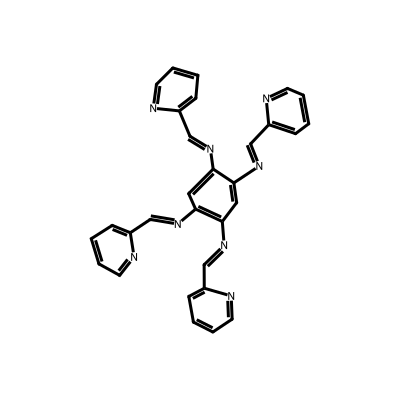 C(=N\c1cc(/N=C/c2ccccn2)c(/N=C/c2ccccn2)cc1/N=C/c1ccccn1)/c1ccccn1